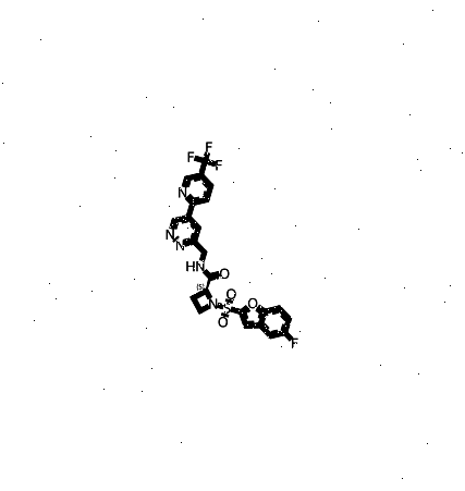 O=C(NCc1cc(-c2ccc(C(F)(F)F)cn2)cnn1)[C@@H]1CCN1S(=O)(=O)c1cc2cc(F)ccc2o1